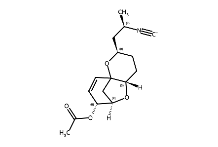 [C-]#[N+][C@H](C)C[C@H]1CC[C@@H]2O[C@@H]3CC2(C=C[C@H]3OC(C)=O)O1